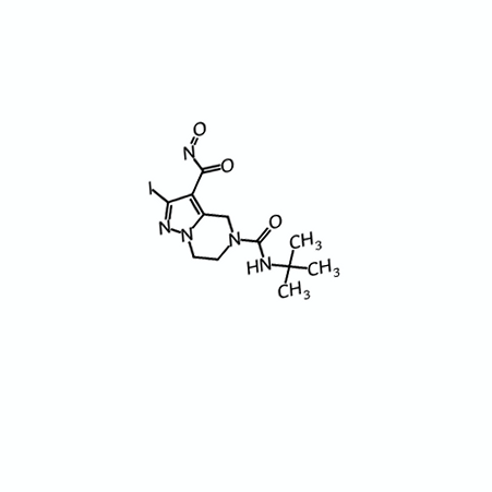 CC(C)(C)NC(=O)N1CCn2nc(I)c(C(=O)N=O)c2C1